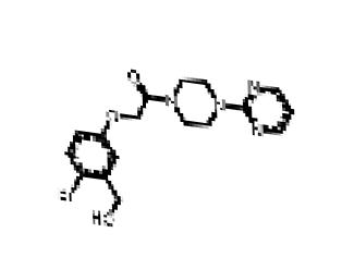 O=C(COc1ccc(Br)c(CO)c1)N1CCN(c2ncccn2)CC1